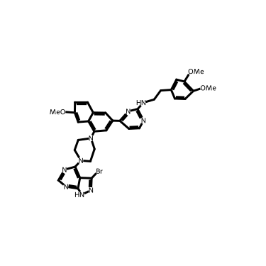 COc1ccc2cc(-c3ccnc(NCCc4ccc(OC)c(OC)c4)n3)cc(N3CCN(c4ncnc5[nH]nc(Br)c45)CC3)c2c1